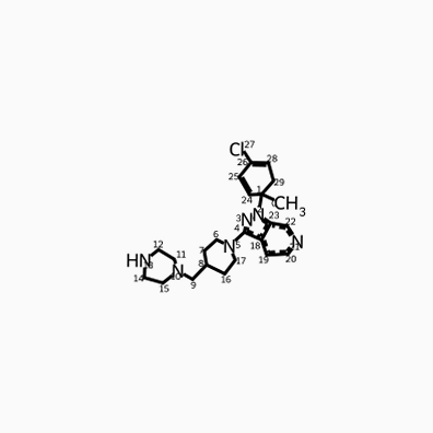 CC1(n2nc(N3CCC(CN4CCNCC4)CC3)c3ccncc32)C=CC(Cl)=CC1